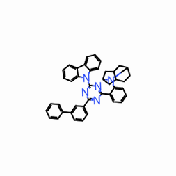 c1ccc(-c2cccc(-c3nc(-c4ccccc4N4C5CCC6CC4CC6C5)nc(-n4c5ccccc5c5ccccc54)n3)c2)cc1